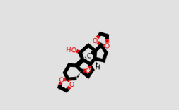 CC12CC(O)C3=C4CCC5(C[C@]46CC[C@]3(O6)[C@@H]1CCC21OCCO1)OCCO5